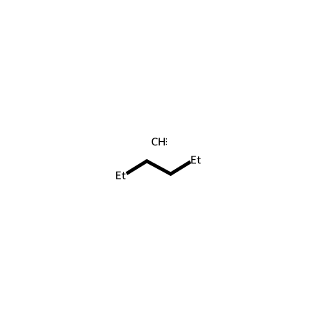 CCCCCC.[CH]